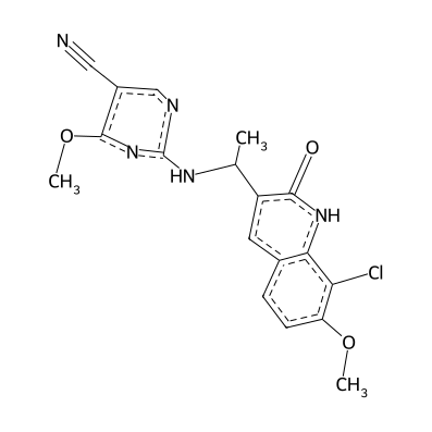 COc1ccc2cc(C(C)Nc3ncc(C#N)c(OC)n3)c(=O)[nH]c2c1Cl